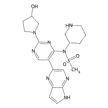 CS(=O)(=O)N(c1nc(N2CCC(O)C2)ncc1-c1cnc2[nH]ccc2n1)C1CCCNC1